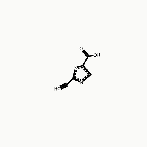 C#Cc1ncc(C(=O)O)s1